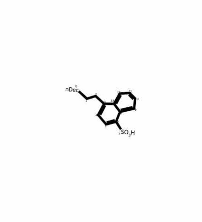 CCCCCCCCCCCCc1ccc(S(=O)(=O)O)c2ccccc12